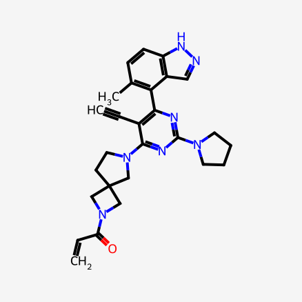 C#Cc1c(-c2c(C)ccc3[nH]ncc23)nc(N2CCCC2)nc1N1CCC2(CN(C(=O)C=C)C2)C1